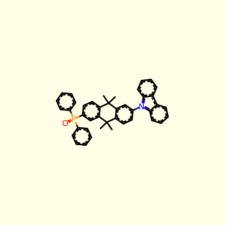 CC1(C)c2ccc(P(=O)(c3ccccc3)c3ccccc3)cc2C(C)(C)c2ccc(-n3c4ccccc4c4ccccc43)cc21